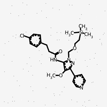 COc1c(-c2ccncc2)nn(COCC[Si](C)(C)C)c1NC(=O)CCc1ccc(Cl)cc1